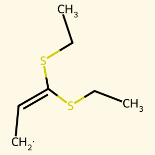 [CH2]C=C(SCC)SCC